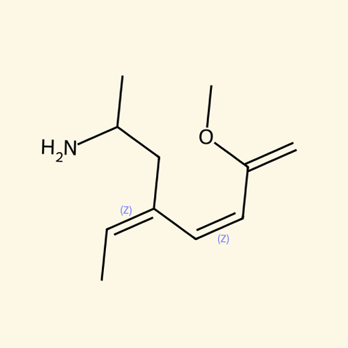 C=C(/C=C\C(=C/C)CC(C)N)OC